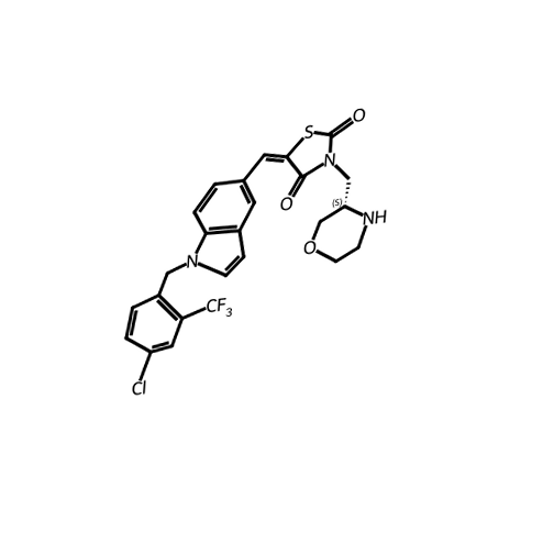 O=C1SC(=Cc2ccc3c(ccn3Cc3ccc(Cl)cc3C(F)(F)F)c2)C(=O)N1C[C@H]1COCCN1